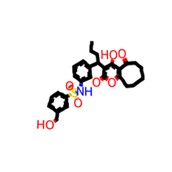 CCCC(c1cccc(NS(=O)(=O)c2cccc(CO)c2)c1)c1c(O)c2c(oc1=O)CCCCCC2=O